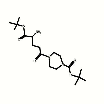 CC(C)(C)OC(=O)[C@@H](N)CCC(=O)N1CCN(C(=O)OC(C)(C)C)CC1